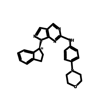 c1ccc2c(c1)CC[C@@H]2n1ncc2cnc(Nc3ccc(N4CCOCC4)cc3)nc21